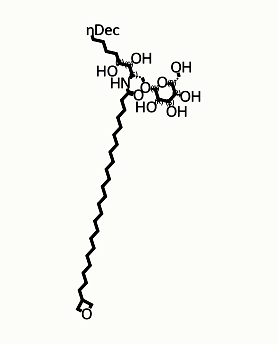 CCCCCCCCCCCCCC[C@@H](O)[C@@H](O)[C@H](CO[C@H]1O[C@H](CO)[C@H](O)[C@H](O)[C@H]1O)NC(=O)CCCCCCCCCCCCCCCCCCCCCCCC1COC1